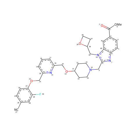 COC(=O)c1ccc2nc(CN3CCC(OCc4cccc(COc5ccc(C#N)cc5F)n4)CC3)n(CC3CCO3)c2c1